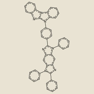 c1ccc(-c2nc3cc4c(cc3n2-c2ccccc2)nc(-c2ccc(-n3c5ccccc5n5c6ccccc6nc35)cc2)n4-c2ccccc2)cc1